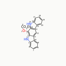 CCOC(=O)Oc1c2[nH]c3ccccc3c2cc2c1[nH]c1ccccc12